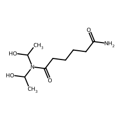 CC(O)N(C(=O)CCCCC(N)=O)C(C)O